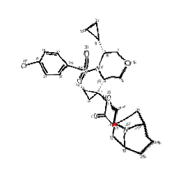 O=C(CC1([C@H]2COC[C@@H](C3CC3)N2S(=O)(=O)c2ccc(Cl)cc2)CC1)N1CC2CCC(C1)N2CCO